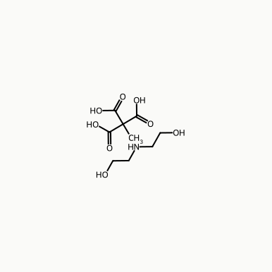 CC(C(=O)O)(C(=O)O)C(=O)O.OCCNCCO